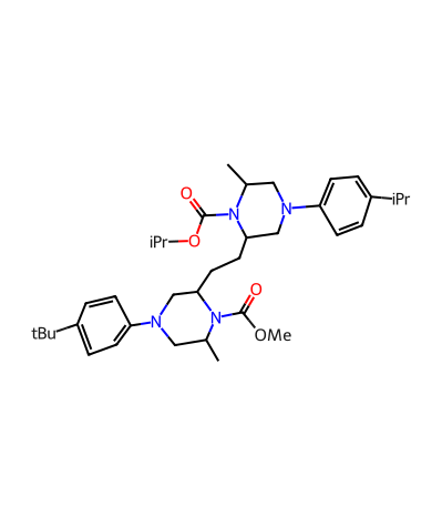 COC(=O)N1C(C)CN(c2ccc(C(C)(C)C)cc2)CC1CCC1CN(c2ccc(C(C)C)cc2)CC(C)N1C(=O)OC(C)C